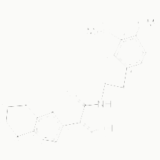 COc1ccc(CCNC(=O)C(=CO)c2ccc3c(c2)CCCC3)cc1OC